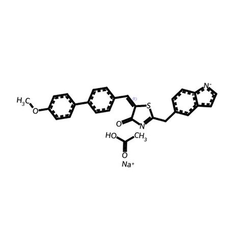 CC(=O)O.COc1ccc(-c2ccc(/C=C3/SC(Cc4ccc5[n-]ccc5c4)=NC3=O)cc2)cc1.[Na+]